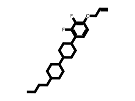 C=CCOc1ccc(C2CCC(C3CCC(CCCC)CC3)CC2)c(F)c1F